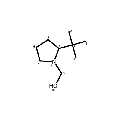 CC(C)(C)C1CCCN1CO